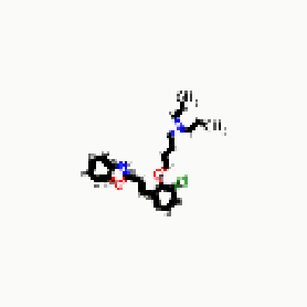 CCCN(CCC)CCCCOc1c(Cl)cccc1C=Cc1nc2ccccc2o1